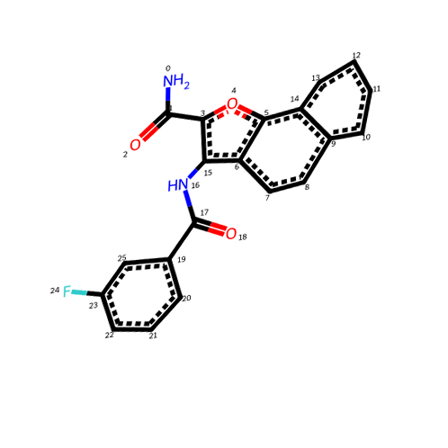 NC(=O)c1oc2c(ccc3ccccc32)c1NC(=O)c1cccc(F)c1